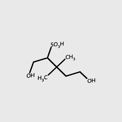 CC(C)(CCO)C(CO)S(=O)(=O)O